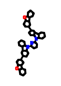 c1cc(-n2c3ccccc3c3cc(-c4ccc5oc6ccccc6c5c4)ccc32)nc(-n2c3ccccc3c3cc(-c4ccc5oc6ccccc6c5c4)ccc32)c1